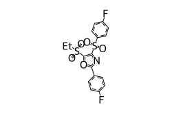 CCS(=O)(=O)c1oc(-c2ccc(F)cc2)nc1S(=O)(=O)c1ccc(F)cc1